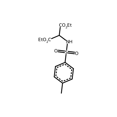 CCOC(=O)C(NS(=O)(=O)c1ccc(C)cc1)C(=O)OCC